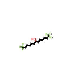 OC(CCCCCC(F)(F)F)CCCCCC(F)(F)F